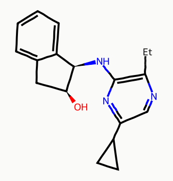 CCc1ncc(C2CC2)nc1N[C@@H]1c2ccccc2C[C@@H]1O